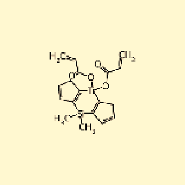 C=CC(=O)[O][Ti]1([O]C(=O)C=C)[C]2=C(C=CC2)[Si](C)(C)C2=[C]1CC=C2